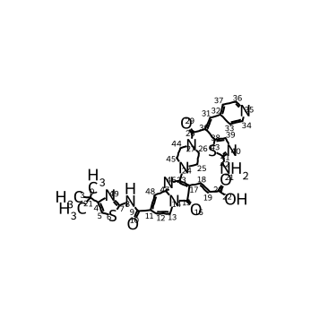 CC(C)(C)c1csc(NC(=O)c2ccn3c(=O)c(C=CC(=O)O)c(N4CCN(C(=O)C(=Cc5ccncc5)c5cnc(N)s5)CC4)nc3c2)n1